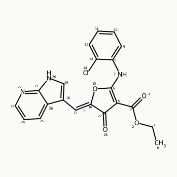 CCOC(=O)C1=C(Nc2ccccc2Cl)O/C(=C\c2c[nH]c3ncccc23)C1=O